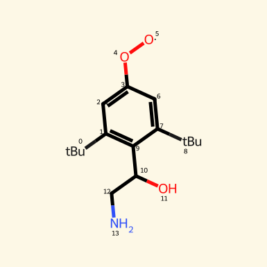 CC(C)(C)c1[c]c(O[O])cc(C(C)(C)C)c1C(O)CN